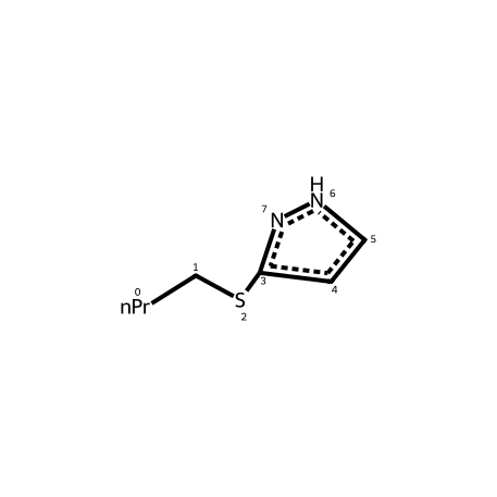 CCCCSc1cc[nH]n1